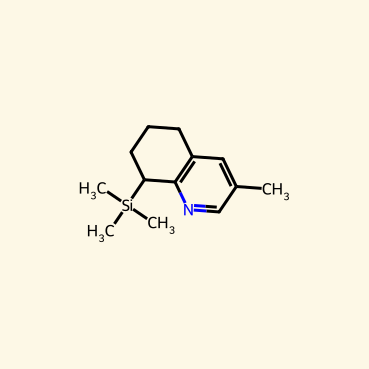 Cc1cnc2c(c1)CCCC2[Si](C)(C)C